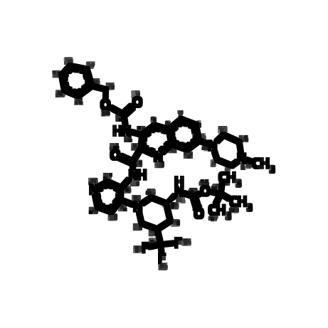 CN1CCN(c2ccc3cc(NC(=O)OCc4ccccc4)c(C(=O)Nc4cnccc4N4CC(C(F)(F)F)C[C@H](NC(=O)OC(C)(C)C)C4)nc3c2)CC1